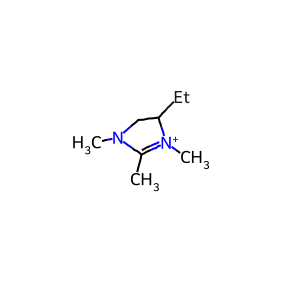 CCC1CN(C)C(C)=[N+]1C